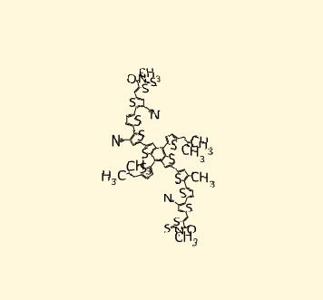 Cc1cc(-c2cc3c(-c4ccc(CC(C)C)s4)c4sc(-c5cc(C#N)c(-c6ccc(-c7sc(/C=C8\SC(=S)N(C)C8=O)cc7C#N)s6)s5)cc4c(-c4ccc(CC(C)C)s4)c3s2)sc1-c1ccc(-c2sc(/C=C3\SC(=S)N(C)C3=O)cc2C#N)s1